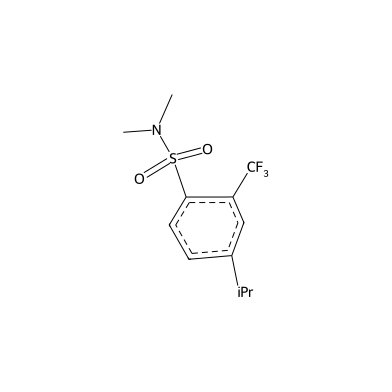 CC(C)c1ccc(S(=O)(=O)N(C)C)c(C(F)(F)F)c1